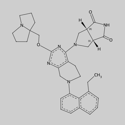 CCc1cccc2cccc(N3CCc4c(nc(OCC56CCCN5CCC6)nc4N4C[C@@H]5C(=O)NC(=O)[C@@H]5C4)C3)c12